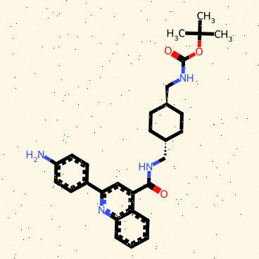 CC(C)(C)OC(=O)NC[C@H]1CC[C@H](CNC(=O)c2cc(-c3ccc(N)cc3)nc3ccccc23)CC1